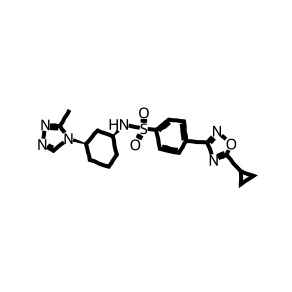 Cc1nncn1[C@@H]1CCC[C@H](NS(=O)(=O)c2ccc(-c3noc(C4CC4)n3)cc2)C1